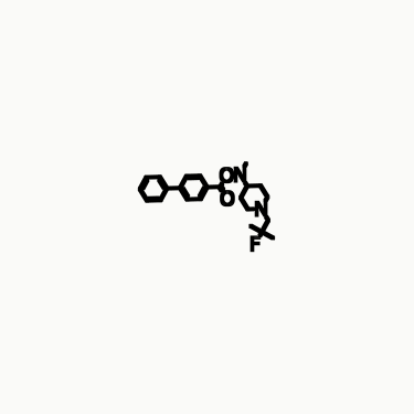 CN(OC(=O)c1ccc(-c2ccccc2)cc1)C1CCN(CC(C)(C)F)CC1